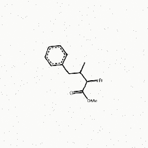 CCCC(C(=O)OC)C(C)Cc1ccccc1